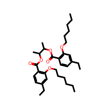 CCCCCCOc1cc(CC)ccc1C(=O)OC(C)C(C)OC(=O)c1ccc(CC)cc1OCCCCCC